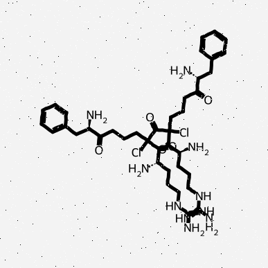 N=C(N)NCCC[C@H](N)C(=O)C(Cl)(CCCC(=O)[C@H](N)Cc1ccccc1)C(=O)C(Cl)(CCCC(=O)[C@H](N)Cc1ccccc1)C(=O)[C@@H](N)CCCNC(=N)N